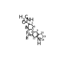 CNC(=O)c1ccc(-c2cc3c(cc2C(F)F)NCCC3)cn1